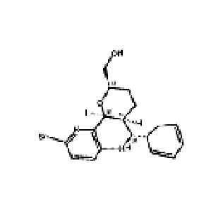 OC[C@H]1CC[C@@H]2[C@H](O1)c1nc(Br)ccc1N[C@H]2C1C=CC=CC1